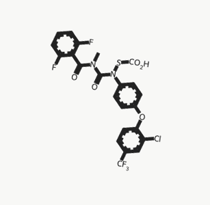 CN(C(=O)c1c(F)cccc1F)C(=O)N(SC(=O)O)c1ccc(Oc2ccc(C(F)(F)F)cc2Cl)cc1